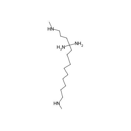 CNCCCCCCCCCC(N)(N)CCCNC